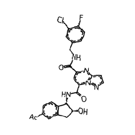 CC(=O)c1ccc2c(c1)C[C@H](O)[C@@H]2NC(=O)c1cc(C(=O)NCc2ccc(F)c(Cl)c2)nc2ccnn12